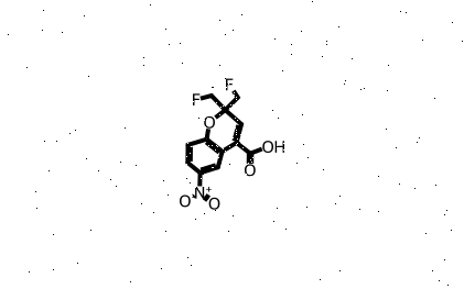 O=C(O)C1=CC(CF)(CF)Oc2ccc([N+](=O)[O-])cc21